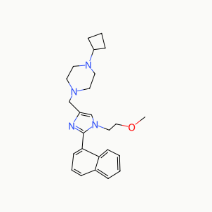 COCCn1cc(CN2CCN(C3CCC3)CC2)nc1-c1cccc2ccccc12